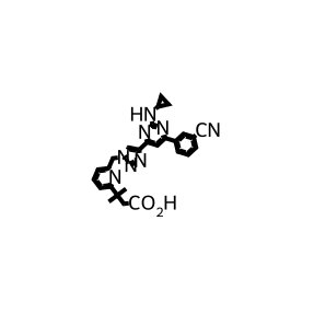 CC(C)(CC(=O)O)c1cccc(Cn2cc(-c3cc(-c4cccc(C#N)c4)nc(NC4CC4)n3)nn2)n1